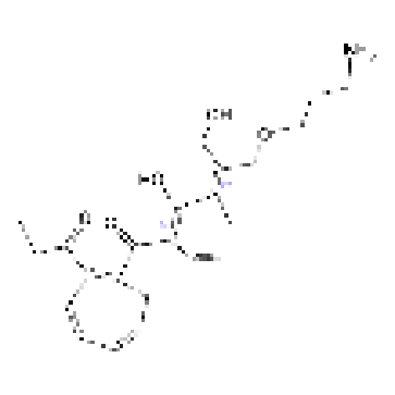 C=C/C(C(=O)C1=C(C(=O)CC)C=CC=CC1)=C(O)\C(C)=C(/CO)COCCCN